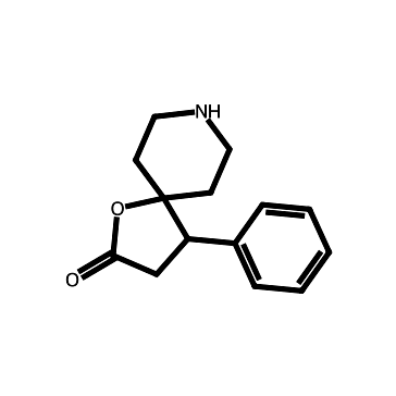 O=C1CC(c2ccccc2)C2(CCNCC2)O1